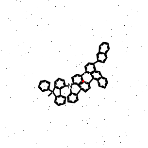 CC1(c2ccccc2)c2ccccc2-c2c(N(c3ccc(-c4ccc(-c5ccc6ccccc6c5)cc4)cc3)c3ccccc3-c3ccc(-c4cccc5ccccc45)cc3)cccc21